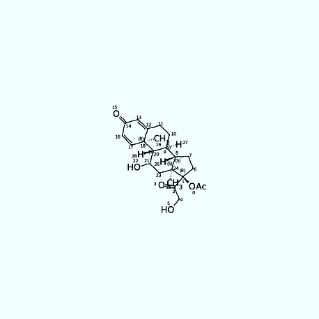 CC(=O)O[C@]1(C(=O)CO)CC[C@H]2[C@@H]3CCC4=CC(=O)C=C[C@]4(C)[C@H]3C(O)C[C@@]21C